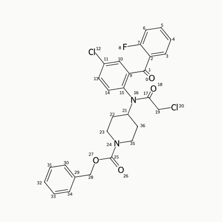 O=C(c1ccccc1F)c1cc(Cl)ccc1N(C(=O)CCl)C1CCN(C(=O)OCc2ccccc2)CC1